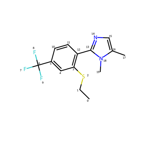 CCSc1cc(C(F)(F)F)ccc1-c1ncc(C)n1C